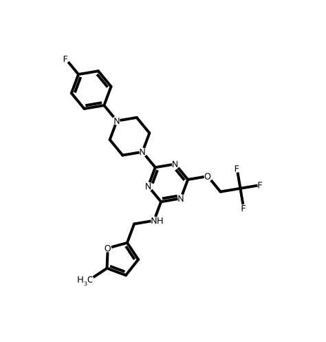 Cc1ccc(CNc2nc(OCC(F)(F)F)nc(N3CCN(c4ccc(F)cc4)CC3)n2)o1